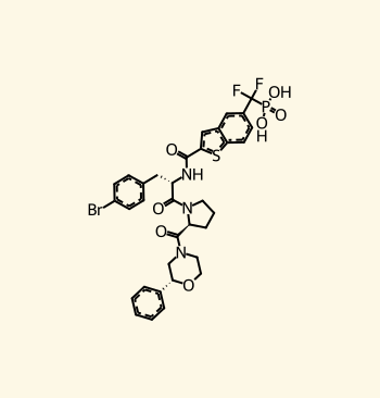 O=C(N[C@@H](Cc1ccc(Br)cc1)C(=O)N1CCC[C@H]1C(=O)N1CCO[C@H](c2ccccc2)C1)c1cc2cc(C(F)(F)P(=O)(O)O)ccc2s1